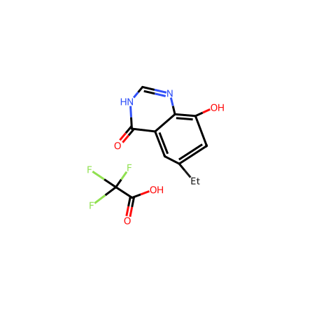 CCc1cc(O)c2nc[nH]c(=O)c2c1.O=C(O)C(F)(F)F